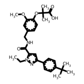 CCn1nc(-c2ccc(C(C)(C)C)cc2)cc1C(=O)NCc1ccc(OC(C)(C)C(=O)O)c(OC)c1